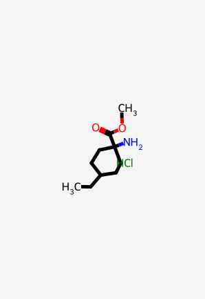 CCC1CCC(N)(C(=O)OC)CC1.Cl